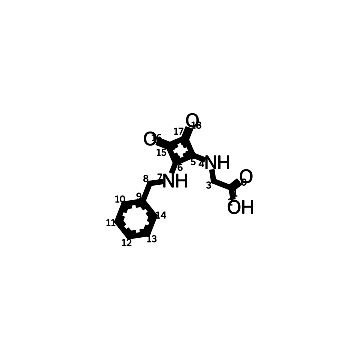 O=C(O)CNc1c(NCc2ccccc2)c(=O)c1=O